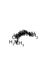 CC(N)CCCc1cc(Cl)c(F)c(-c2cc3cn(-c4ccc5c(c4)OCCN(CCCNC(=N)CN)C5)c(=O)nc3[nH]2)c1